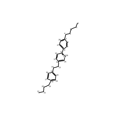 CCCCCc1ccc(-c2ccc(CCc3ccc(CCCC)cc3)cn2)cc1